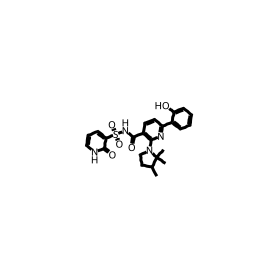 CC1CCN(c2nc(-c3ccccc3O)ccc2C(=O)NS(=O)(=O)c2ccc[nH]c2=O)C1(C)C